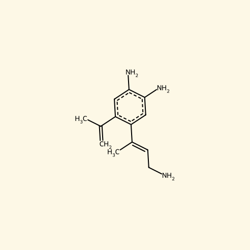 C=C(C)c1cc(N)c(N)cc1/C(C)=C/CN